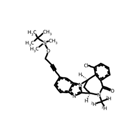 [2H]C([2H])([2H])N1C(=O)c2cccc(Cl)c2[C@H]2C[C@@H]1c1nc3ccc(C#CCO[Si](C)(C)C(C)(C)C)cc3n12